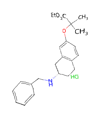 CCOC(=O)C(C)(C)Oc1ccc2c(c1)C[C@@H](NCc1ccccc1)CC2.Cl